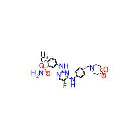 Cc1ccc(Nc2ncc(F)c(Nc3ccc(CN4CCS(=O)(=O)CC4)cc3)n2)cc1S(N)(=O)=O